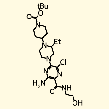 CC[C@H]1CN(c2nc(N)c(C(=O)NCCO)nc2Cl)CCN1C1CCN(C(=O)OC(C)(C)C)CC1